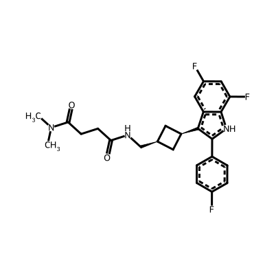 CN(C)C(=O)CCC(=O)NC[C@H]1C[C@@H](c2c(-c3ccc(F)cc3)[nH]c3c(F)cc(F)cc32)C1